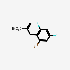 C=C(Cc1c(F)cc(F)cc1Br)C(=O)OCC